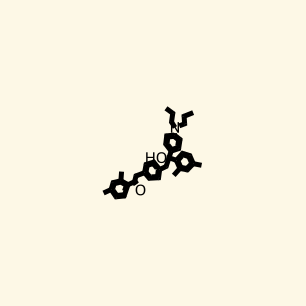 CCCN(CCC)c1ccc(C(O)(Cc2ccc(CC(=O)c3ccc(C)cc3C)cc2)c2ccc(C)cc2C)cc1